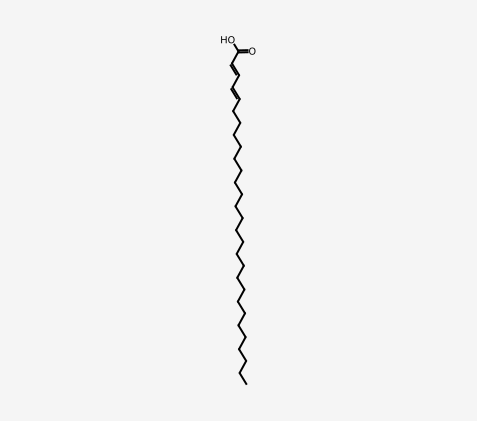 CCCCCCCCCCCCCCCCCCCCCCCCC=CC=CC(=O)O